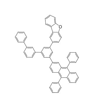 c1ccc(-c2cccc(-c3cc(-c4ccc5c(-c6ccccc6)c6ccccc6c(-c6ccccc6)c5c4)cc(-c4ccc5oc6ccccc6c5c4)c3)c2)cc1